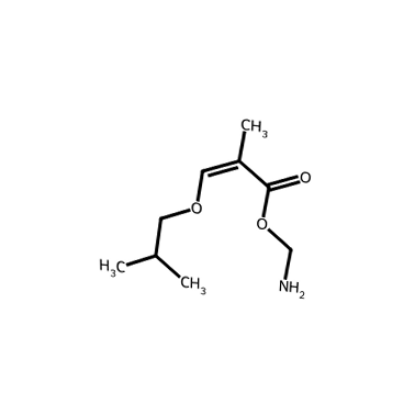 CC(=COCC(C)C)C(=O)OCN